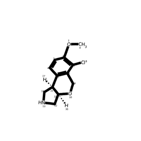 COc1ccc2c(c1Cl)CO[C@H]1CNC[C@@H]21